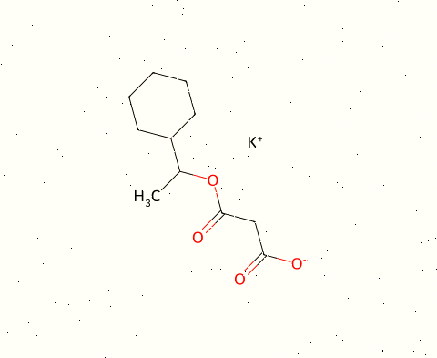 CC(OC(=O)CC(=O)[O-])C1CCCCC1.[K+]